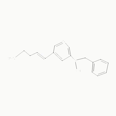 CNCC/C=C/c1cncc(N(C=O)Cc2ccccc2)c1